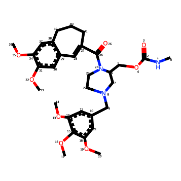 CNC(=O)OCC1CN(Cc2cc(OC)c(OC)c(OC)c2)CCN1C(=O)C1=Cc2cc(OC)c(OC)cc2CCC1